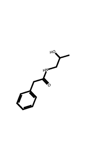 CC(O)CNC(=O)Cc1ccccc1